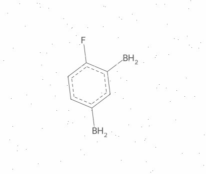 Bc1ccc(F)c(B)c1